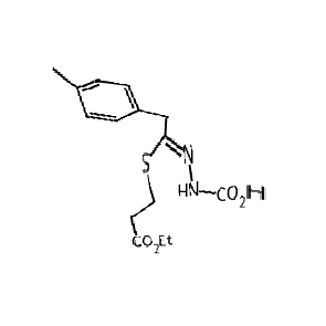 CCOC(=O)CCS/C(Cc1ccc(C)cc1)=N\NC(=O)O